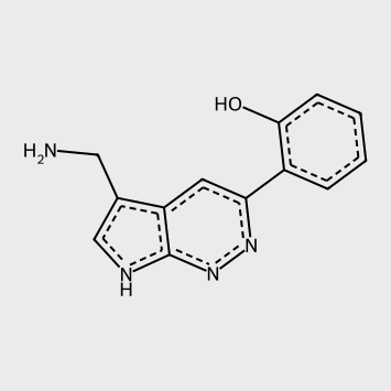 NCc1c[nH]c2nnc(-c3ccccc3O)cc12